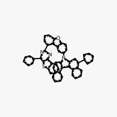 c1ccc(-c2cc3c(c4ccccc24)c2c4ccccc4ccc2n3-c2ccc3oc4cccc(-c5nc(-c6ccccc6)c6sc7ccccc7c6n5)c4c3c2)cc1